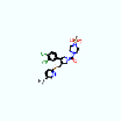 CS(=O)(=O)N1CCN(C(=O)N2CC(CSc3ccc(C(F)(F)F)cn3)C(c3ccc(Cl)c(Cl)c3)C2)CC1